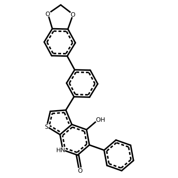 O=c1[nH]c2scc(-c3cccc(-c4ccc5c(c4)OCO5)c3)c2c(O)c1-c1ccccc1